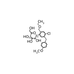 CCOCc1cc(Cl)c(Cc2ccc(OC)cc2)cc1[C@@H]1O[C@H](CO)[C@@H](O)[C@H](O)[C@H]1O